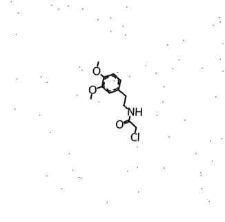 COc1ccc(CCNC(=O)CCl)cc1OC